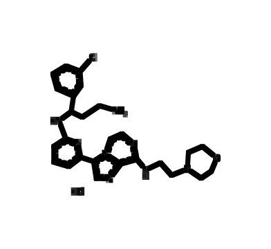 Cl.NCCC(Nc1cccc(-c2cnc3c(NCCN4CCOCC4)nccn23)n1)c1cccc(Cl)c1